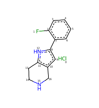 Cl.Fc1ccccc1-c1cc2c([nH]1)CCNC2